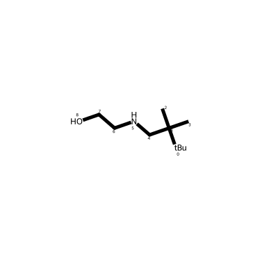 CC(C)(C)C(C)(C)CNCCO